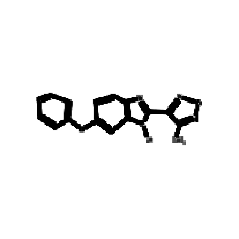 CCn1c(-c2nonc2N)nc2ccc(Oc3ccccc3)cc21